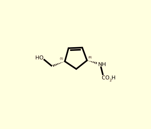 O=C(O)N[C@H]1C=C[C@@H](CO)C1